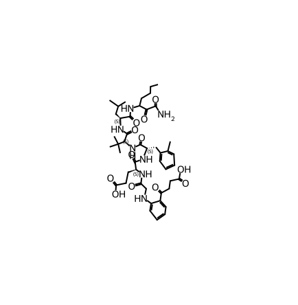 CCCCC(NC(=O)[C@H](CC(C)C)NC(=O)[C@@H](NC(=O)[C@H](Cc1ccccc1C)NC(=O)[C@H](CCC(=O)O)NC(=O)CNc1ccccc1C(=O)CCC(=O)O)C(C)(C)C)C(=O)C(N)=O